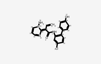 C=C/C(C(=O)Nc1cc(Cl)ccc1-c1ccc(O)cc1)=C1/N=CC=CN1N